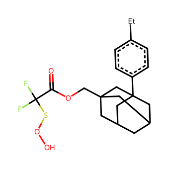 CCc1ccc(C23CC4CC(CC(COC(=O)C(F)(F)SOO)(C4)C2)C3)cc1